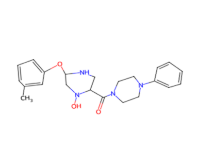 Cc1cccc(OC2CN(O)C(C(=O)N3CCN(c4ccccc4)CC3)CN2)c1